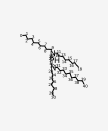 CCCCCCCCCCN(CCCCCCCC)CPCN(CCCCCCCC)CCCCCCCCCC